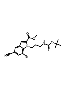 COC(=O)c1cc2cc(C#N)cc(Br)c2n1CCCNC(=O)OC(C)(C)C